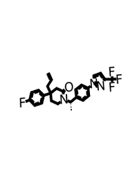 C=CCC1(c2ccc(F)cc2)CCN([C@@H](C)c2ccc(-n3ccc(C(F)(F)F)n3)cc2)C(=O)C1